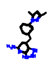 Cc1cc(C)n(-c2cccc(Cc3cc(N)nc4c3NNN4)c2)n1